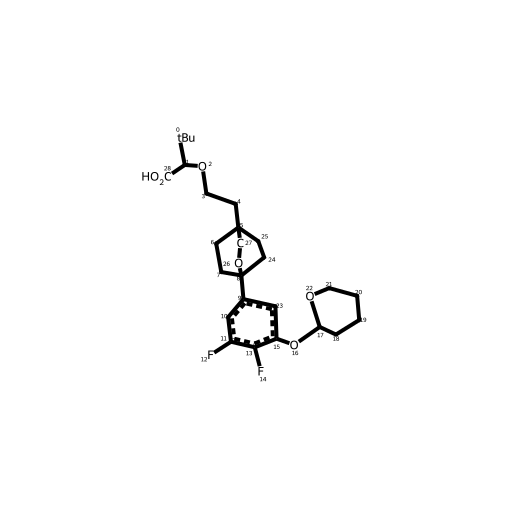 CC(C)(C)C(OCCC12CCC(c3cc(F)c(F)c(OC4CCCCO4)c3)(CC1)OC2)C(=O)O